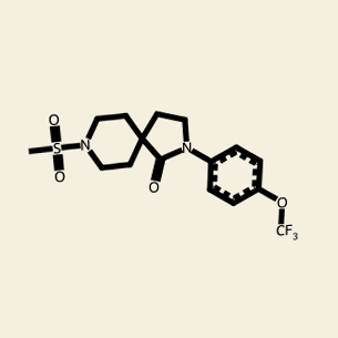 CS(=O)(=O)N1CCC2(CCN(c3ccc(OC(F)(F)F)cc3)C2=O)CC1